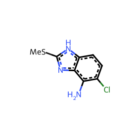 CSc1nc2c(N)c(Cl)ccc2[nH]1